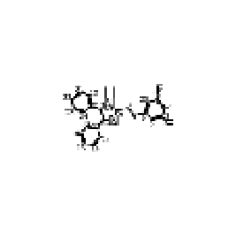 Fc1cc(F)cc(CCC2=NC(c3ccccc3)C(c3ccccc3)N2)c1